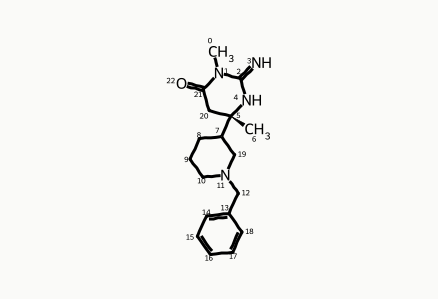 CN1C(=N)N[C@](C)(C2CCCN(Cc3ccccc3)C2)CC1=O